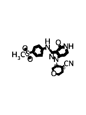 CS(=O)(=O)c1ccc(Nc2nn([C@H]3COCC[C@@H]3C#N)c3cc[nH]c(=O)c23)cc1